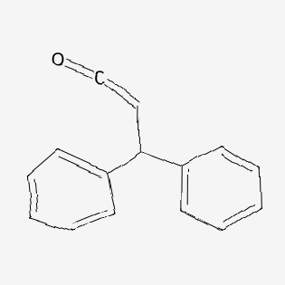 O=C=CC(c1ccccc1)c1ccccc1